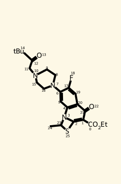 CCOC(=O)c1c2n(c3cc(N4CCN(CC(=O)C(C)(C)C)CC4)c(F)cc3c1=O)C(C)S2